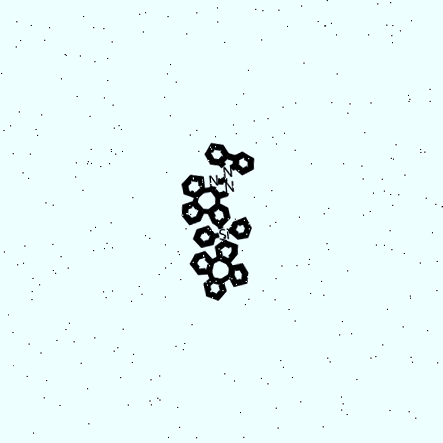 c1ccc([Si](c2ccccc2)(c2ccc3c(c2)-c2ccccc2-c2ccccc2-c2ccccc2-3)c2ccc3c(c2)-c2ccccc2-c2ccccc2-c2nc(-n4c5ccccc5c5ccccc54)ncc2-3)cc1